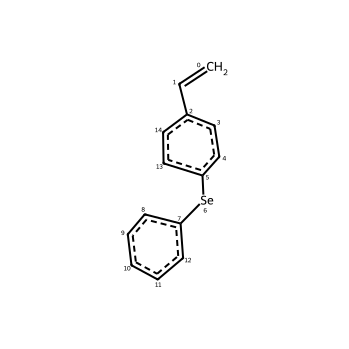 C=Cc1ccc([Se]c2ccccc2)cc1